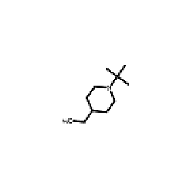 CC(C)(C)N1CCC(CO)CC1